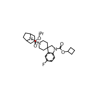 CC(C)OC(=O)N1C2CCC1CC(N1CCC3(CC1)CN(C(=O)OC1CCC1)c1ccc(F)cc13)C2